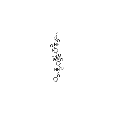 CCCOC(=O)CNC(=O)c1ccc(C(=O)NS(=O)(=O)c2ccc(C(=O)NCCOc3ccccc3)cc2Cl)cn1